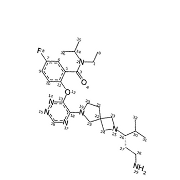 CCN(C(=O)c1cc(F)ccc1Oc1nncnc1N1CCC2(C1)CN([C@@H](CCN)C(C)C)C2)C(C)C